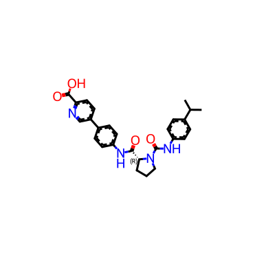 CC(C)c1ccc(NC(=O)N2CCC[C@@H]2C(=O)Nc2ccc(-c3ccc(C(=O)O)nc3)cc2)cc1